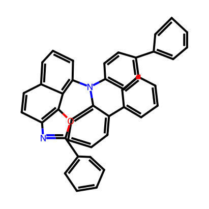 c1ccc(-c2ccc(N(c3ccccc3-c3ccccc3)c3cccc4ccc5nc(-c6ccccc6)oc5c34)cc2)cc1